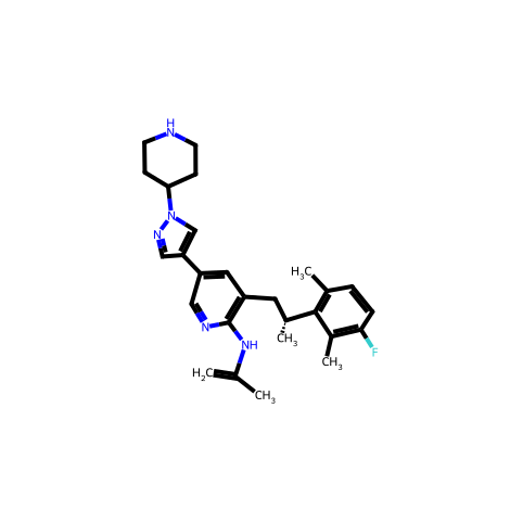 C=C(C)Nc1ncc(-c2cnn(C3CCNCC3)c2)cc1C[C@@H](C)c1c(C)ccc(F)c1C